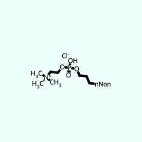 CCCCCCCCCCCCOP(=O)(O)OCC[N+](C)(C)C.[Cl-]